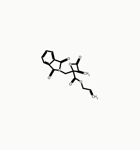 C=CCOC(=O)C1(CN2C(=O)c3ccccc3C2=O)OC(=O)C1=C